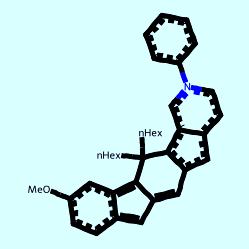 CCCCCCC1(CCCCCC)C2=c3cc(OC)ccc3=CC2=Cc2cc3ccn(-c4ccccc4)cc-3c21